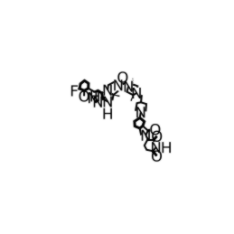 C[C@@H]1CN(CC2CCN(c3ccc4c(c3)C(=O)N([C@@H]3CCC(=O)NC3=O)C4)CC2)[C@@H](C)CN1C(=O)N1CCN2c3cc(-c4cccc(F)c4O)nnc3NC[C@@]2(C)C1